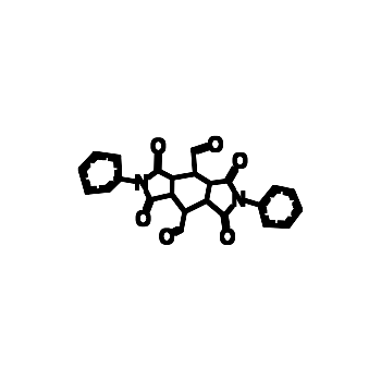 O=CC1C2C(=O)N(c3ccccc3)C(=O)C2C(C=O)C2C(=O)N(c3ccccc3)C(=O)C12